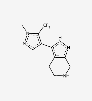 Cn1ncc(-c2[nH]nc3c2CCNC3)c1C(F)(F)F